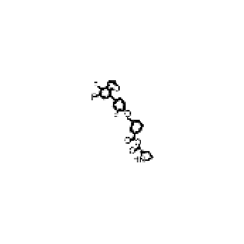 O=C(OC(=O)[C@@H]1CCCN1)c1cccc(COc2ccc(-c3cc(F)c(F)c4ccoc34)cc2F)c1